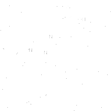 N#Cc1ccc(-c2noc(N3CCC(C(=O)O)CC3)n2)cc1